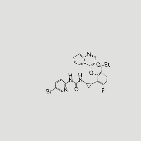 CCC(=O)c1ccc(F)c(C2CC2NC(=O)Nc2ccc(Br)cn2)c1Oc1ccnc2ccccc12